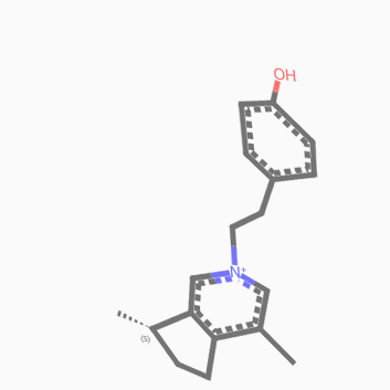 Cc1c[n+](CCc2ccc(O)cc2)cc2c1CC[C@@H]2C